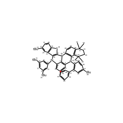 Cc1cc2c3c(c1)N(c1cc(C(C)(C)C)cc(C(C)(C)C)c1)c1c(sc4ccc(C(C)(C)C)cc14)B3c1ccc3c(c1N2c1ccc(C(C)(C)C)cc1-c1ccccc1)C(C)(C)CCC3(C)C